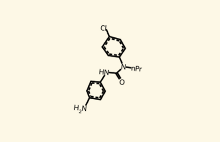 CCCN(C(=O)Nc1ccc(N)cc1)c1ccc(Cl)cc1